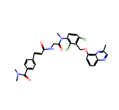 Cc1cnc2cccc(OCc3c(Cl)ccc(N(C)C(=O)CNC(=O)C=Cc4ccc(C(=O)N(C)C)cc4)c3Cl)c2n1